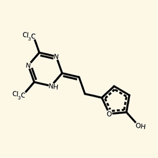 Oc1ccc(CC=C2N=C(C(Cl)(Cl)Cl)N=C(C(Cl)(Cl)Cl)N2)o1